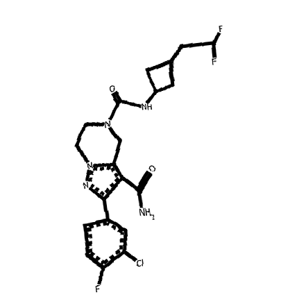 NC(=O)c1c(-c2ccc(F)c(Cl)c2)nn2c1CN(C(=O)NC1CC(CC(F)F)C1)CC2